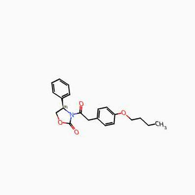 CCCCOc1ccc(CC(=O)N2C(=O)OC[C@H]2c2ccccc2)cc1